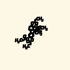 C=CC(=O)Oc1cc2c(cc1OC(=O)C=C)C(C)(C)c1c-2ccc(OC(=O)C=C)c1OC(=O)C=C